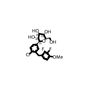 COc1ccc(Cc2cc([C@@H]3O[C@H](CO)[C@@H](O)[C@H](O)[C@H]3O)ccc2Cl)c(F)c1F